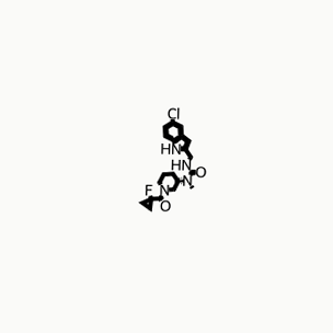 CN(C(=O)NCc1cc2cc(Cl)ccc2[nH]1)[C@@H]1CCCN(C(=O)C2(F)CC2)C1